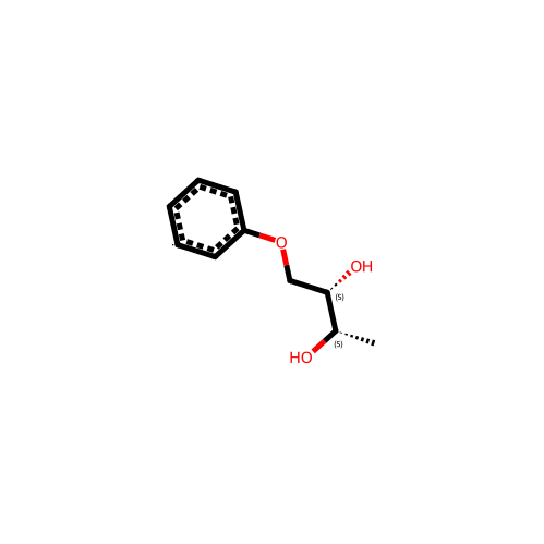 C[C@H](O)[C@@H](O)COc1c[c]ccc1